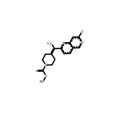 CC(=C1CCN(C(=O)OC(C)(C)C)CC1)c1ccc2cnc(Cl)cc2n1